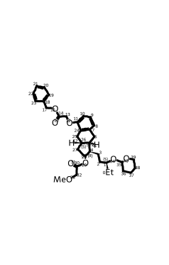 CC[C@@H](CC[C@@H]1[C@H]2Cc3cccc(OCC(=O)OCc4ccccc4)c3C[C@H]2C[C@H]1OC(=O)COC)OC1CCCCO1